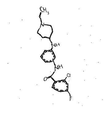 CCN1CCC(Nc2cccc(NC(=O)c3ccc(F)cc3Cl)c2)CC1